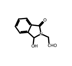 O=CCN1C(=O)c2ccccc2C1O